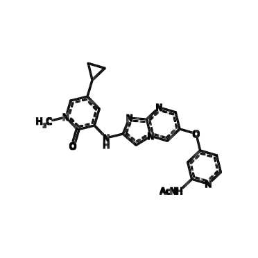 CC(=O)Nc1cc(Oc2cnc3nc(Nc4cc(C5CC5)cn(C)c4=O)cn3c2)ccn1